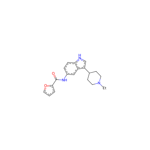 CCN1CCC(c2c[nH]c3ccc(NC(=O)c4ccco4)cc23)CC1